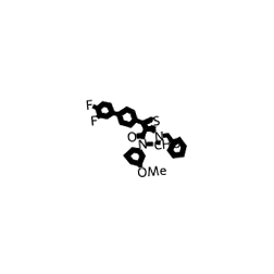 COc1cccc(N(C)C(=O)c2c(-c3ccc(-c4ccc(F)c(F)c4)cc3)csc2N(C=O)Cc2ccccc2)c1